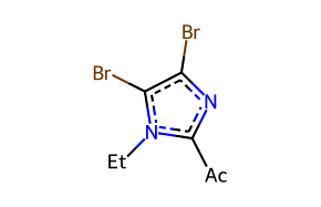 CCn1c(C(C)=O)nc(Br)c1Br